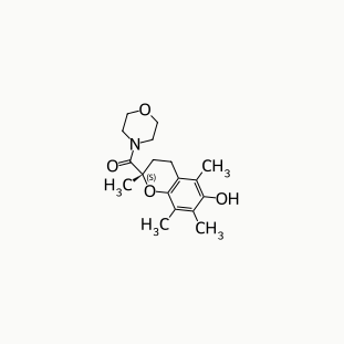 Cc1c(C)c2c(c(C)c1O)CC[C@@](C)(C(=O)N1CCOCC1)O2